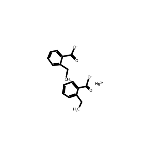 CCc1ccccc1C(=O)[O-].CCc1ccccc1C(=O)[O-].[Hg+2]